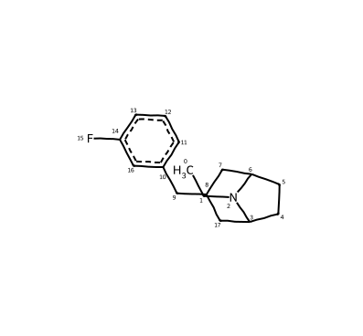 CCN1C2CCC1CC(Cc1cccc(F)c1)C2